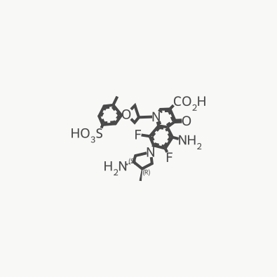 C[C@@H]1CN(c2c(F)c(N)c3c(=O)c(C(=O)O)cn(C4COC4)c3c2F)C[C@H]1N.Cc1ccc(S(=O)(=O)O)cc1